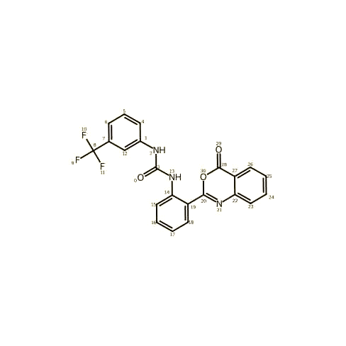 O=C(Nc1cccc(C(F)(F)F)c1)Nc1ccccc1-c1nc2ccccc2c(=O)o1